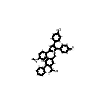 COc1ccc(-c2nc(-c3ccc(Cl)cc3)c(-c3ccc(Cl)cc3)n2Cc2ccc(-c3ccccc3)c(C(=O)O)c2)cc1